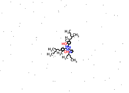 CCCCC(CC)CCc1ccc(-c2nc(-c3ccc(CCC(CC)CCCC)c(C)c3O)nc(-c3cccn3CC(CC)CCCC)n2)c(O)c1C